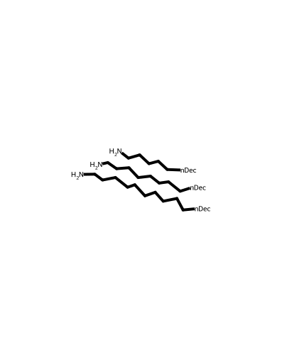 CCCCCCCCCCCCCCCCCCCCN.CCCCCCCCCCCCCCCCCCN.CCCCCCCCCCCCCCCN